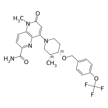 C[C@@H]1CN(c2cc(=O)n(C)c3ccc(C(N)=O)nc23)CC[C@@H]1OCc1ccc(OC(F)(F)F)cc1